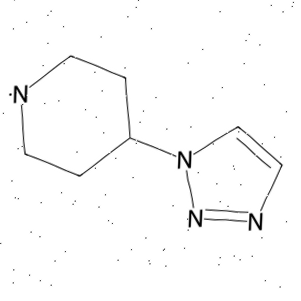 c1cn(C2CC[N]CC2)nn1